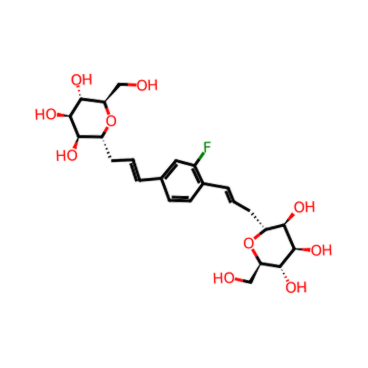 OC[C@H]1O[C@H](C/C=C/c2ccc(/C=C/C[C@H]3O[C@H](CO)[C@@H](O)[C@H](O)[C@@H]3O)c(F)c2)[C@@H](O)[C@@H](O)[C@@H]1O